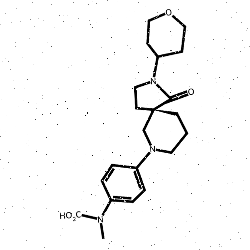 CN(C(=O)O)c1ccc(N2CCC[C@]3(CCN(C4CCOCC4)C3=O)C2)cc1